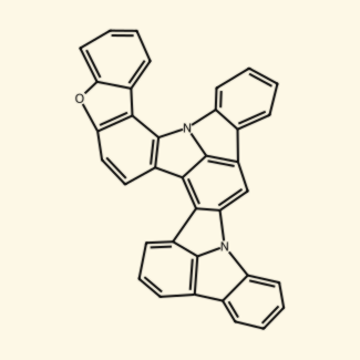 c1ccc2c(c1)oc1ccc3c4c5c6cccc7c8ccccc8n(c5cc5c8ccccc8n(c3c12)c54)c76